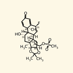 CC1(C)O[C@@H]2C[C@H]3[C@@H]4C[C@H](F)C5=CC(=O)C=C[C@]5(C)[C@H]4[C@@H](O)C[C@]3(C)[C@]2(C(=O)COS(C)(=O)=O)O1